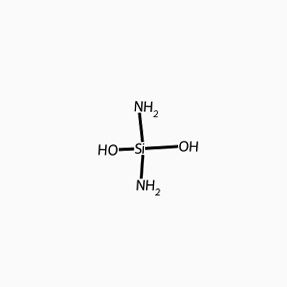 N[Si](N)(O)O